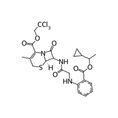 CC1=C(C(=O)OCC(Cl)(Cl)Cl)N2C(=O)C(NC(=O)CNc3ccccc3C(=O)OC(C)C3CC3)[C@H]2SC1